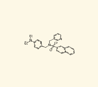 CCN(CC)c1ccc(CN(Cc2cccnc2)S(=O)(=O)c2ccc3ccccc3c2)cc1